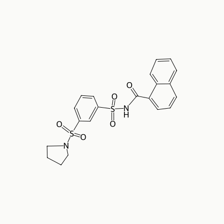 O=C(NS(=O)(=O)c1cccc(S(=O)(=O)N2CCCC2)c1)c1cccc2ccccc12